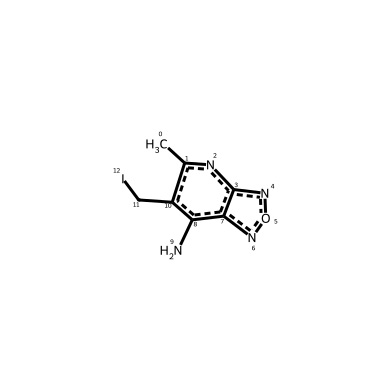 Cc1nc2nonc2c(N)c1CI